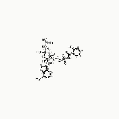 CC1(C)O[C@@H]2[C@H](O1)[C@@H](COS(=O)(=O)NC(=O)c1ccccc1F)O[C@H]2n1cnc2c(N)ncnc21.CCN(CC)CC